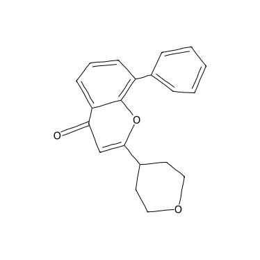 O=c1cc(C2CCOCC2)oc2c(-c3ccccc3)cccc12